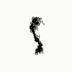 CCOc1cc(C(CS(C)(=O)=O)N2C(=O)c3cccc(NC(=O)CCCCNCc4ccc(OCc5scc6c5CN(C5CCC(=O)NC5=O)C6=O)cc4)c3C2=O)ccc1OC